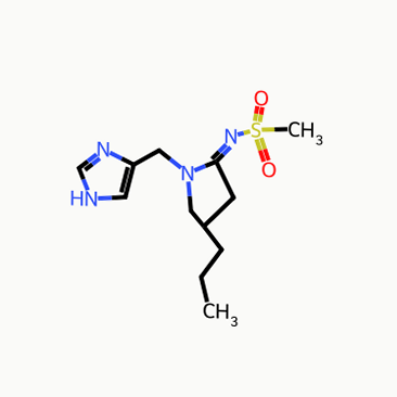 CCCC1CC(=NS(C)(=O)=O)N(Cc2c[nH]cn2)C1